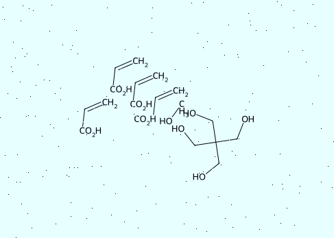 C=CC(=O)O.C=CC(=O)O.C=CC(=O)O.C=CC(=O)O.CO.OCC(CO)(CO)CO